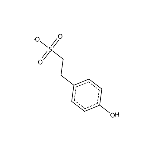 [O]S(=O)(=O)CCc1ccc(O)cc1